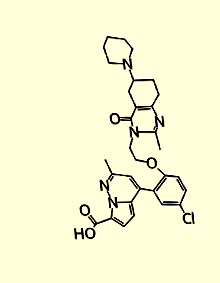 Cc1cc(-c2cc(Cl)ccc2OCCn2c(C)nc3c(c2=O)CC(N2CCCCC2)CC3)c2ccc(C(=O)O)n2n1